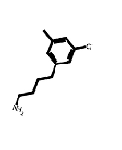 Cc1cc(Cl)cc(CCCCN)c1